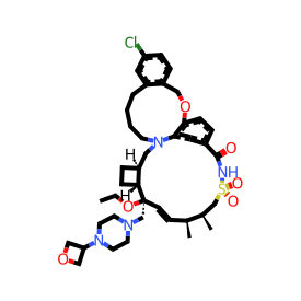 CCO[C@]1(CN2CCN(C3COC3)CC2)/C=C/[C@H](C)[C@H](C)CS(=O)(=O)NC(=O)c2ccc3c(c2)N(CCCCc2cc(Cl)ccc2CO3)C[C@@H]2CC[C@H]21